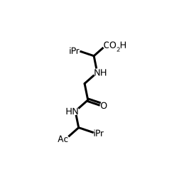 CC(=O)C(NC(=O)CNC(C(=O)O)C(C)C)C(C)C